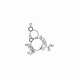 CC[C@@H]1CC/C=C/[C@H](O[C@@H](C)C(=O)O)[C@@H]2CC[C@H]2CN2CCCCc3cc(Cl)ccc3COc3ccc(cc32)C(O)NS1(=O)=O